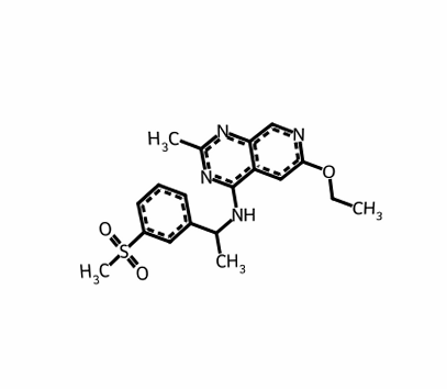 CCOc1cc2c(NC(C)c3cccc(S(C)(=O)=O)c3)nc(C)nc2cn1